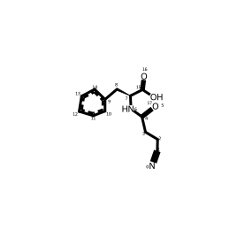 N#CCCC(=O)N[C@@H](Cc1ccccc1)C(=O)O